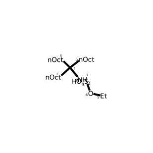 CCCCCCCCC(N)(CCCCCCCC)CCCCCCCC.CCOS(=O)(=O)O